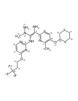 Cc1nc(/C(N)=C(\Nc2nccc(OCCC(F)(F)F)n2)N(C)N)ccc1OC1CCCCC1